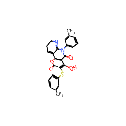 O=c1oc2c3c(n(-c4cccc(C(F)(F)F)c4)c(=O)c2c(O)c1Sc1cccc(C(F)(F)F)c1)=NCCC=3